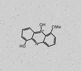 COc1cccc2nc3c(O)cccc3[n+](O)c12